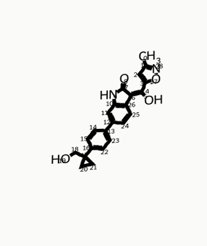 Cc1cc(C(O)=C2C(=O)Nc3cc(-c4ccc(C5(CO)CC5)cc4)ccc32)on1